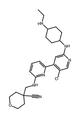 CCNC1CCC(Nc2cc(-c3cccc(NCC4(C#N)CCOCC4)n3)c(Cl)cn2)CC1